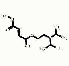 COC(=O)/C=C/C(O)OCCN(C(C)C)C(C)C